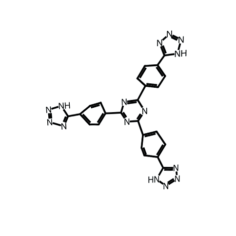 c1cc(-c2nnn[nH]2)ccc1-c1nc(-c2ccc(-c3nnn[nH]3)cc2)nc(-c2ccc(-c3nnn[nH]3)cc2)n1